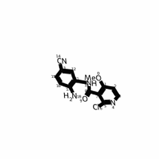 COc1ccnc(Cl)c1C(=O)Nc1cc(C#N)ccc1N